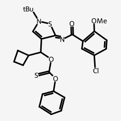 COc1ccc(Cl)cc1C(=O)/N=c1\sn(C(C)(C)C)cc1C(OC(=S)Oc1ccccc1)C1CCC1